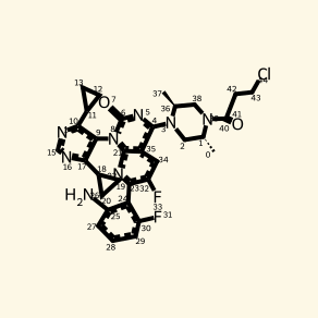 C[C@@H]1CN(c2nc(=O)n(-c3c(C4CC4)ncnc3C3CC3)c3nc(-c4c(N)cccc4F)c(F)cc23)[C@@H](C)CN1C(=O)CCCl